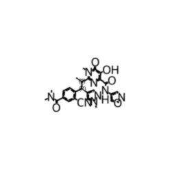 C[C@@H](c1nc(C(=O)Nc2cnoc2)c(O)c(=O)n1C)[C@@H](c1cnn(C)c1)c1ccc(C(=O)N(C)C)cc1C#N